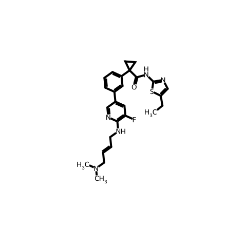 CCc1cnc(NC(=O)C2(c3cccc(-c4cnc(NCC=CCN(C)C)c(F)c4)c3)CC2)s1